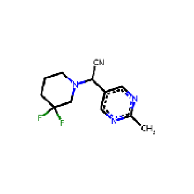 Cc1ncc(C(C#N)N2CCCC(F)(F)C2)cn1